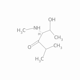 CN[C@@H](C(=O)C(C)C)C(C)O